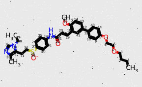 CCCCOCCOc1ccc(-c2ccc(OC)c(/C=C/C(=O)Nc3ccc([S@@+]([O-])CCc4c(C)ncn4CC)cc3)c2)cc1